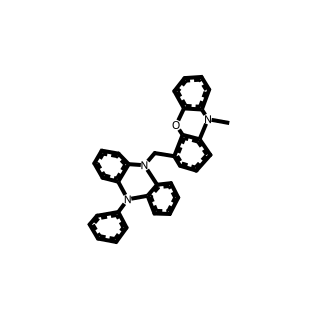 CN1c2ccccc2Oc2c(CN3c4ccccc4N(c4ccccc4)c4ccccc43)cccc21